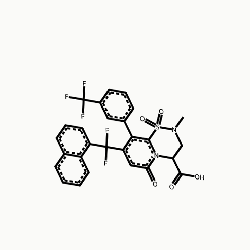 CN1CC(C(=O)O)n2c(c(-c3cccc(C(F)(F)F)c3)c(C(F)(F)c3cccc4ccccc34)cc2=O)S1(=O)=O